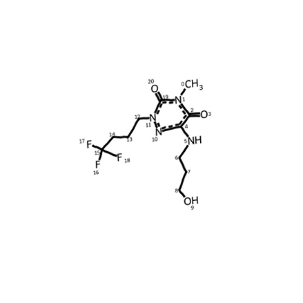 Cn1c(=O)c(NCCCO)nn(CCCC(F)(F)F)c1=O